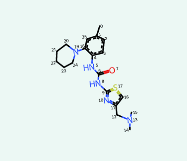 Cc1ccc(NC(=O)Nc2nc(CN(C)C)cs2)c(N2CCCCC2)c1